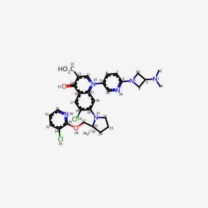 CN(C)C1CN(c2ccc(-n3cc(C(=O)O)c(=O)c4cc(Cl)c(N5CCC[C@@]5(C)COc5ncccc5Cl)cc43)cn2)C1